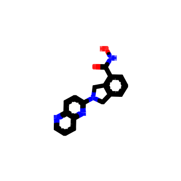 O=C(NO)c1cccc2c1CN(c1ccc3ncccc3n1)C2